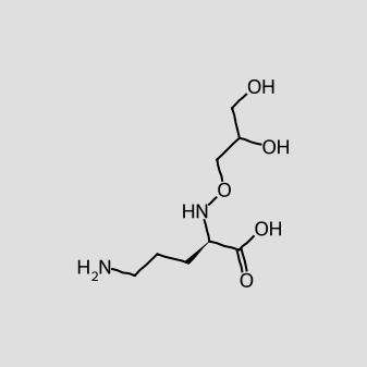 NCCC[C@@H](NOCC(O)CO)C(=O)O